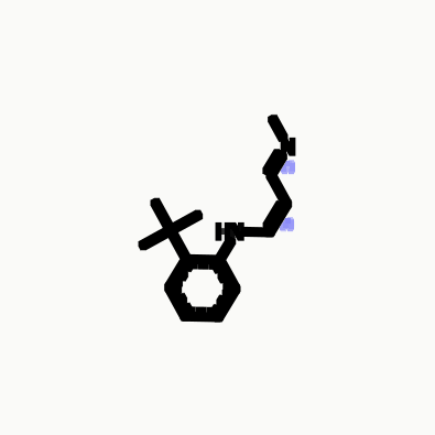 C/N=C/C=C\Nc1ccccc1C(C)(C)C